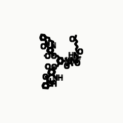 COc1cc2c(cc1OCc1cc(COc3cc4c(cc3OC)C(=O)N3c5ccccc5C[C@H]3CN4)cc(NC(=O)C(C)NC(=O)[C@H](C)NC(=O)CCCCC(C)=O)c1)N=CC1Cc3ccccc3N1C2=O